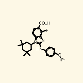 CC(C)Oc1ccc(Nc2nc3c(F)c(C(=O)O)ccc3n2C2CC(C)(C)CC(C)(C)C2)cc1